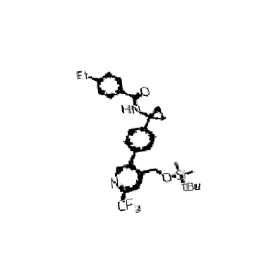 CCc1ccc(C(=O)NC2(c3ccc(-c4cnc(C(F)(F)F)cc4CO[Si](C)(C)C(C)(C)C)cc3)CC2)cc1